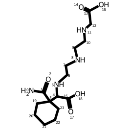 NC(=O)C1(C(NCCNCCNCC(=O)O)C(=O)O)CCCCC1